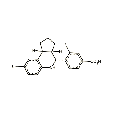 O=C(O)c1ccc([C@@H]2Nc3ccc(Cl)cc3[C@@H]3CCC[C@@H]32)c(F)c1